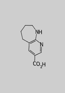 O=C(O)c1cnc2c(c1)CCCCN2